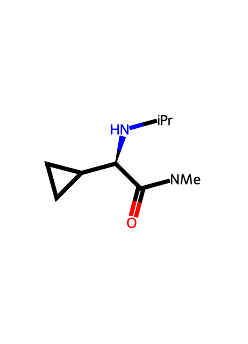 CNC(=O)[C@H](NC(C)C)C1CC1